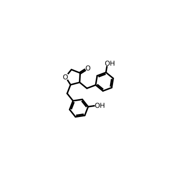 O=C1COC(Cc2cccc(O)c2)C1Cc1cccc(O)c1